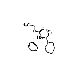 CCOC(=O)NC(CC)N1CCCCC1.c1ccccc1